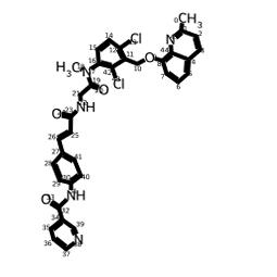 Cc1ccc2cccc(OCc3c(Cl)ccc(N(C)C(=O)CNC(=O)C=Cc4ccc(NC(=O)c5cccnc5)cc4)c3Cl)c2n1